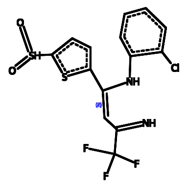 N=C(/C=C(\Nc1ccccc1Cl)c1ccc([SH](=O)=O)s1)C(F)(F)F